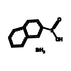 O=S(O)c1ccc2ccccc2c1.[SrH2]